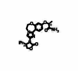 CC(C)[C@@H]1COC(=O)N1c1cn2c(n1)-c1ccc(O[C@@H](C)C(N)=O)cc1OCC2